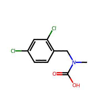 CN(Cc1ccc(Cl)cc1Cl)C(=O)O